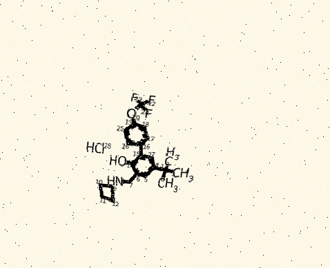 CC(C)(C)c1cc(CNC2CCC2)c(O)c(-c2ccc(OC(F)(F)F)cc2)c1.Cl